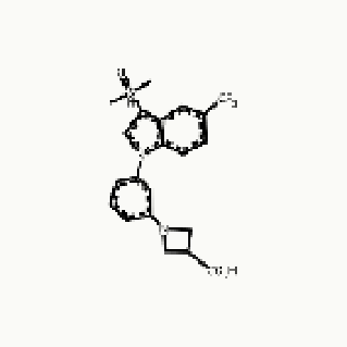 C[SH](C)(=O)c1cn(-c2cccc(N3CC(C(=O)O)C3)c2)c2ccc(C(F)(F)F)cc12